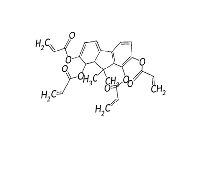 C=CC(=O)OC1=CC=C2c3ccc(OC(=O)C=C)c(OC(=O)C=C)c3C(C)(C)C2C1OC(=O)C=C